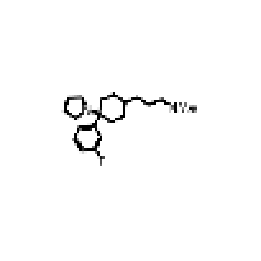 CNCCCC1CCC(c2cccc(F)c2)(N2CCCC2)CC1